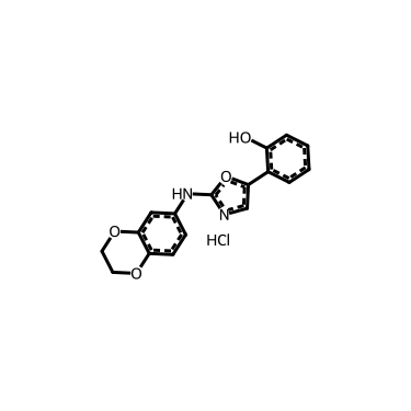 Cl.Oc1ccccc1-c1cnc(Nc2ccc3c(c2)OCCO3)o1